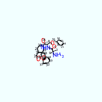 CC(C)(N)C(=O)NC(COCc1ccccc1)C(=O)N1CCC2COC(=O)C2(Cc2ccccc2)C1